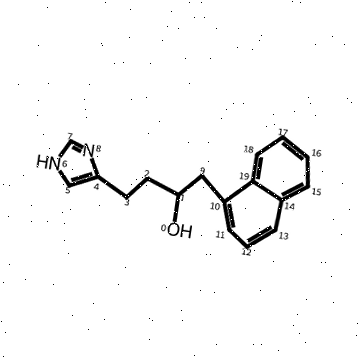 OC(CCc1c[nH]cn1)Cc1cccc2ccccc12